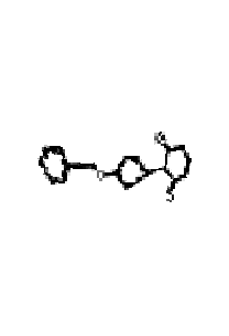 O=C1CCCC(=O)C1c1ccc(OCc2ccccc2)cc1